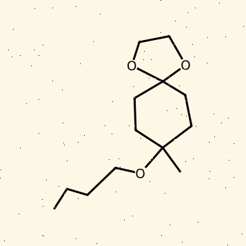 CCCCOC1(C)CCC2(CC1)OCCO2